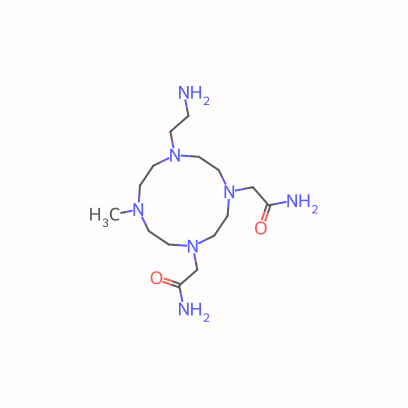 CN1CCN(CCN)CCN(CC(N)=O)CCN(CC(N)=O)CC1